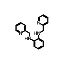 c1ccc(CNc2ccccc2NCc2ccccn2)nc1